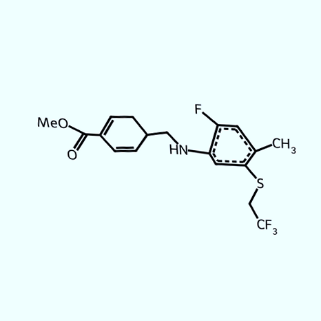 COC(=O)C1=CCC(CNc2cc(SCC(F)(F)F)c(C)cc2F)C=C1